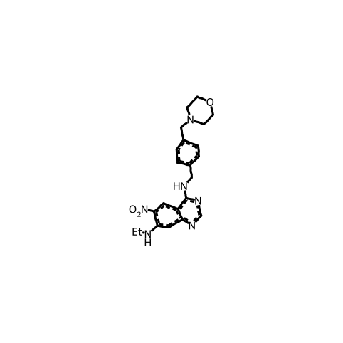 CCNc1cc2ncnc(NCc3ccc(CN4CCOCC4)cc3)c2cc1[N+](=O)[O-]